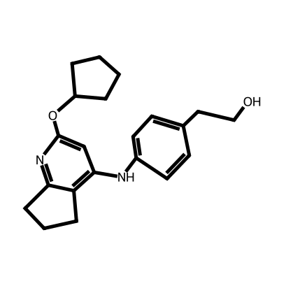 OCCc1ccc(Nc2cc(OC3CCCC3)nc3c2CCC3)cc1